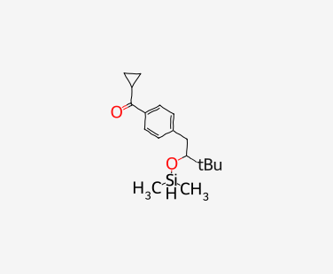 C[SiH](C)OC(Cc1ccc(C(=O)C2CC2)cc1)C(C)(C)C